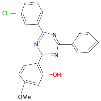 COc1ccc(-c2nc(-c3ccccc3)nc(-c3cccc(Cl)c3)n2)c(O)c1